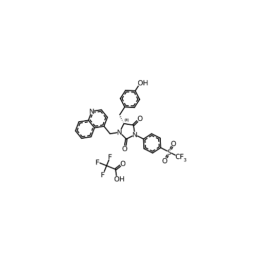 O=C(O)C(F)(F)F.O=C1[C@@H](Cc2ccc(O)cc2)N(Cc2ccnc3ccccc23)C(=O)N1c1ccc(S(=O)(=O)C(F)(F)F)cc1